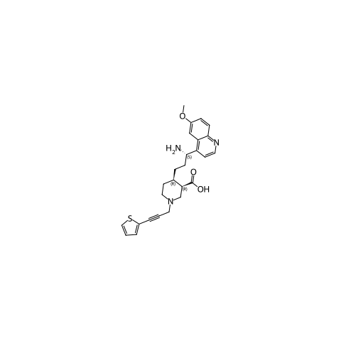 COc1ccc2nccc([C@@H](N)CC[C@@H]3CCN(CC#Cc4cccs4)C[C@@H]3C(=O)O)c2c1